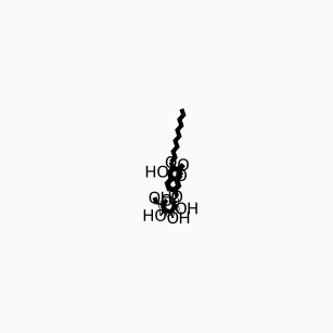 CCCCCCCCCCOc1c(O)c2ccc(O[C@@H]3O[C@H](CO)[C@H](O)[C@H](O)[C@H]3O)cc2oc1=O